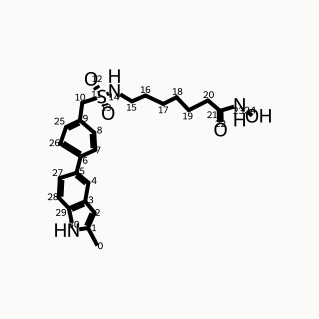 Cc1cc2cc(-c3ccc(CS(=O)(=O)NCCCCCCC(=O)NO)cc3)ccc2[nH]1